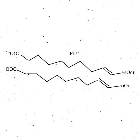 CCCCCCCCC=CCCCCCCCC(=O)[O-].CCCCCCCCC=CCCCCCCCC(=O)[O-].[Pb+2]